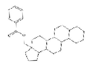 O=C(OCC12CCCC1C1CCC3C4CCCCC4CCC3C1CC2)c1ccccc1